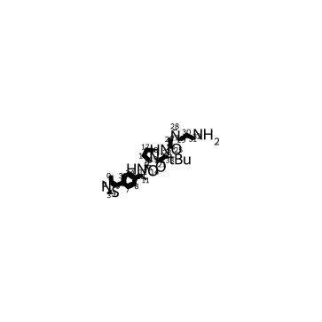 Cc1ncsc1-c1ccc([C@H](C)NC(=O)[C@@H]2CCCN2C(=O)[C@@H](NC(=O)CN(C)CCCN)C(C)(C)C)cc1